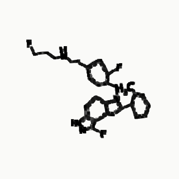 Cc1ccccc1-c1cc2c3c(F)n[nH]c3ccc2n1Cc1ccc(CCNCCCF)cc1F